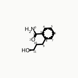 NC(=O)c1ccccc1CCCO